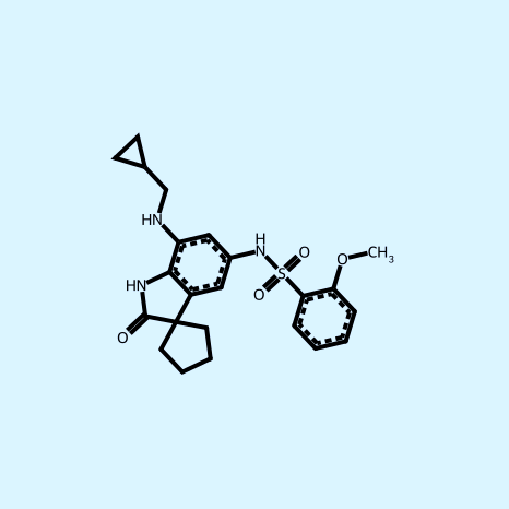 COc1ccccc1S(=O)(=O)Nc1cc(NCC2CC2)c2c(c1)C1(CCCC1)C(=O)N2